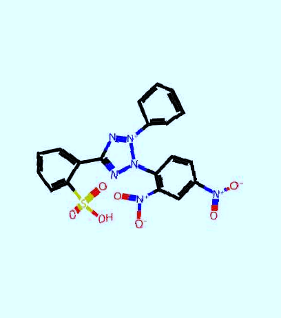 O=[N+]([O-])c1ccc(-n2nc(-c3ccccc3S(=O)(=O)O)n[n+]2-c2ccccc2)c([N+](=O)[O-])c1